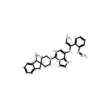 C=Nc1ccccc1/C(=C\C)Sc1cnc(N2CCC3(CC2)Cc2ccccc2[C@H]3N)n2ccnc12